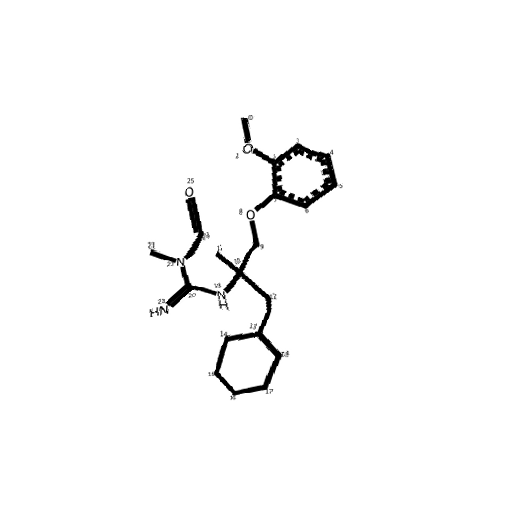 COc1ccccc1OCC(C)(CC1CCCCC1)NC(=N)N(C)C=O